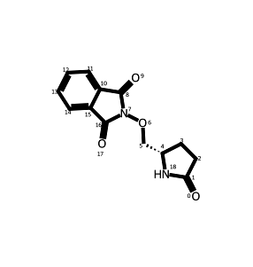 O=C1CC[C@@H](CON2C(=O)c3ccccc3C2=O)N1